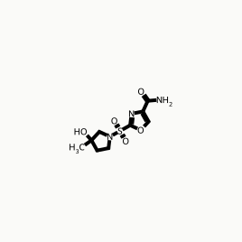 CC1(O)CCN(S(=O)(=O)c2nc(C(N)=O)co2)C1